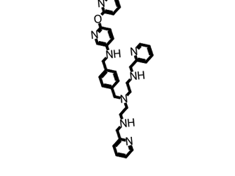 c1ccc(CNCCN(CCNCc2ccccn2)Cc2ccc(CNc3ccc(Oc4ccccn4)nc3)cc2)nc1